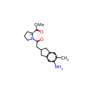 COC(=O)[C@@H]1CCCN1C(=O)CC1Cc2cc(C)c(N)cc2C1